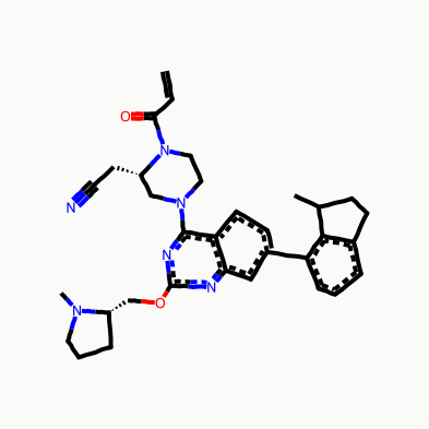 C=CC(=O)N1CCN(c2nc(OC[C@@H]3CCCN3C)nc3cc(-c4cccc5c4C(C)CC5)ccc23)C[C@@H]1CC#N